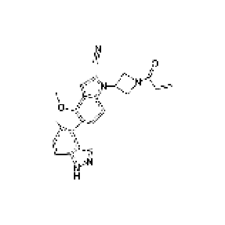 C=CC(=O)N1CC(n2c(C#N)cc3c(OC)c(-c4c(C)ccc5[nH]ncc45)ccc32)C1